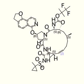 C[C@H]1CC/C=C\[C@@H]2C[C@@]2(C(=O)NS(=O)(=O)C2(C)CC2)NC(=O)[C@@H]2C[C@@H](Oc3nccc4c5c(ccc34)CCO5)CN2C(=O)[C@@H](NC(=O)OC(C)(C)C(C)(F)F)[C@H](C)C1